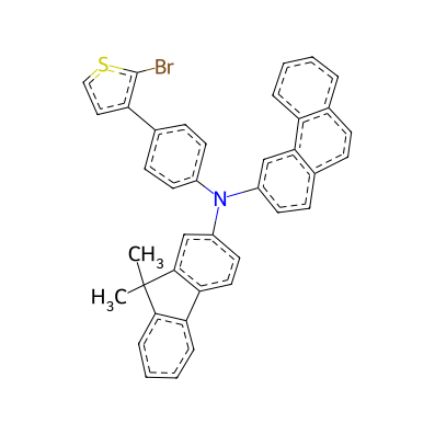 CC1(C)c2ccccc2-c2ccc(N(c3ccc(-c4ccsc4Br)cc3)c3ccc4ccc5ccccc5c4c3)cc21